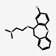 CN(C)CCSC1Cc2ccccc2Oc2ccc(Cl)cc21